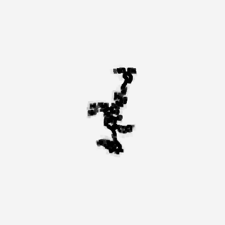 CC1=NC2=CN(CO)NN2C(SCC2=C(C(=O)[O-])N3C(=O)C(NC(=O)/C(=N\OC(C)(C)C(=O)N/N=C/c4ccc(O)c(O)c4)c4csc(N)n4)[C@H]3SC2)=C1.[Na+]